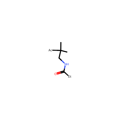 CCC(=O)NCC(C)(C)C(C)=O